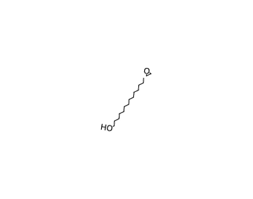 C1CO1.CCCCCCCCCCCCCCO